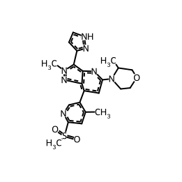 Cc1cc(S(C)(=O)=O)ncc1-c1cc(N2CCOCC2C)nc2c(-c3cc[nH]n3)n(C)nc12